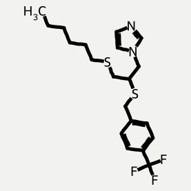 CCCCCCSCC(Cn1ccnc1)SCc1ccc(C(F)(F)F)cc1